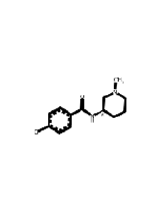 CN1CCC[C@@H](NC(=O)c2ccc(Cl)cc2)C1